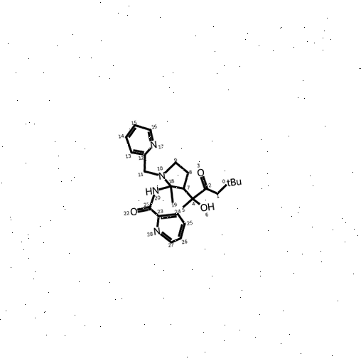 CC(C)(C)CC(=O)C(C)(O)C1CCN(Cc2ccccn2)C1(C)NC(=O)c1ccccn1